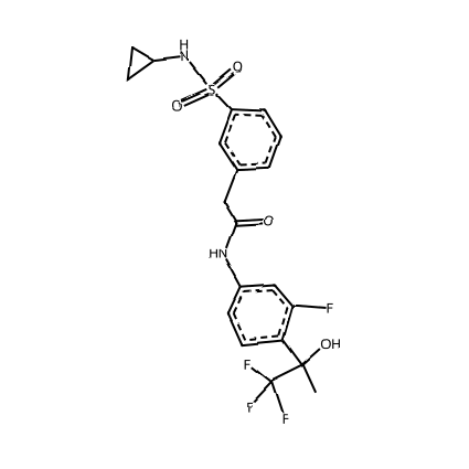 CC(O)(c1ccc(NC(=O)Cc2cccc(S(=O)(=O)NC3CC3)c2)cc1F)C(F)(F)F